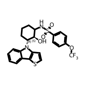 O=S(=O)(NC1CCC[C@@H](n2c3ccccc3c3sccc32)[C@@H]1O)c1ccc(OC(F)(F)F)cc1